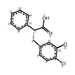 O=C(O)[C@H](Cc1ccc(Cl)c(Cl)c1)c1ccccc1